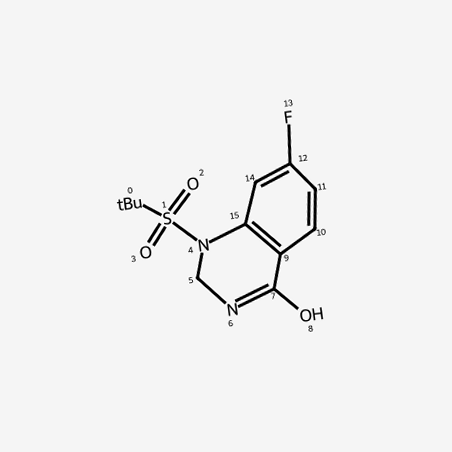 CC(C)(C)S(=O)(=O)N1CN=C(O)c2ccc(F)cc21